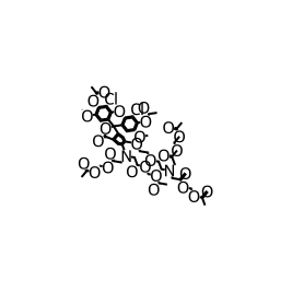 COc1cc2c(c(Cl)c1OC(C)=O)Oc1c(cc(OC)c(OC(C)=O)c1Cl)C21OC(=O)c2cc(N(CC(=O)OCOC(C)=O)CC(=O)OCOC(C)=O)c(OCCOCCN(CC(=O)OCOC(C)=O)CC(=O)OCOC(C)=O)cc21